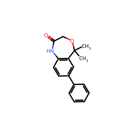 CC1(C)OCC(=O)Nc2ccc(-c3ccccc3)cc21